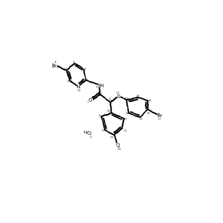 Cl.O=C(Nc1ccc(Br)cn1)C(Oc1ccc(Br)cc1)c1ccc(Cl)cc1